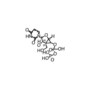 O=c1ccn([C@@H]2O[C@@H]3C(OP(=O)(O)OP(=O)(O)O)[C@]3(CO)[C@H]2O)c(=O)[nH]1